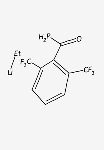 O=C(P)c1c(C(F)(F)F)cccc1C(F)(F)F.[Li][CH2]C